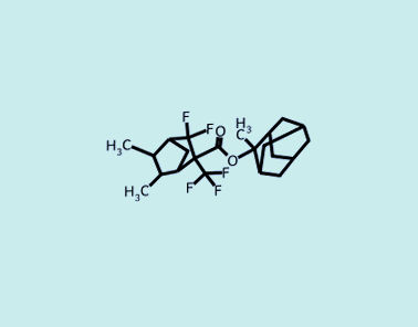 CC1C(C)C2CC1C(F)(F)C2(C(=O)OC1(C)C2CC3CC(C2)CC1C3)C(F)(F)F